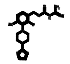 N#Cc1ccc(COC(=O)NC(=N)N)c(F)c1N1CCC(c2nccs2)CC1